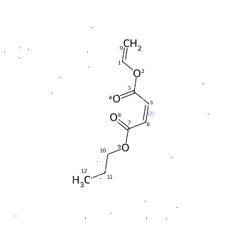 C=COC(=O)/C=C\C(=O)OCCC